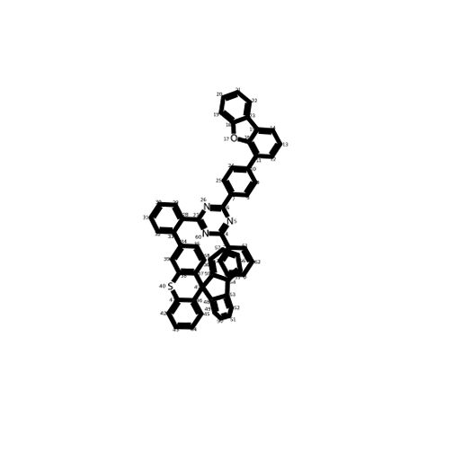 c1ccc(-c2nc(-c3ccc(-c4cccc5c4oc4ccccc45)cc3)nc(-c3ccccc3-c3ccc4c(c3)Sc3ccccc3C43c4ccccc4-c4ccccc43)n2)cc1